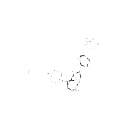 CCOC(=O)N1CCN(c2ccnn3cc(-c4ccc([C@H]5CCCNC5)cn4)cc23)CC1